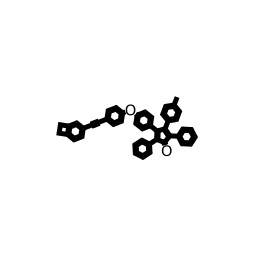 Cc1ccc(C2=C(c3ccccc3)C(=O)C(c3ccccc3)=C2c2ccc(Oc3ccc(C#Cc4ccc5c(c4)CC5)cc3)cc2)cc1